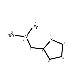 CCCN(CC1CCCS1)C(C)C